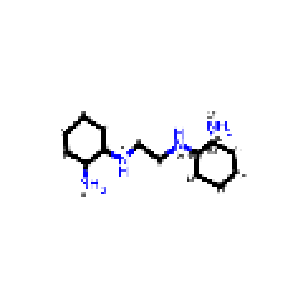 NC1CCCCC1NCCNC1CCCC[C@H]1N